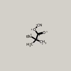 CC(C)(C)C(C)(C)C(=O)OC#N